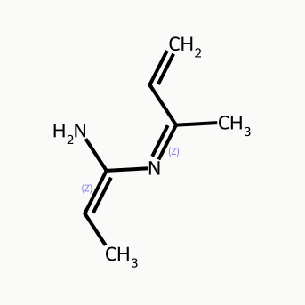 C=C/C(C)=N\C(N)=C/C